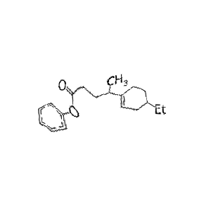 CCC1CC=C(C(C)CCC(=O)Oc2ccccc2)CC1